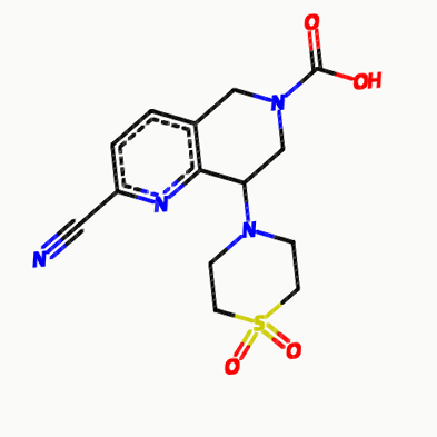 N#Cc1ccc2c(n1)C(N1CCS(=O)(=O)CC1)CN(C(=O)O)C2